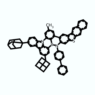 Cc1cc2c3c(c1)-n1c4ccc(C56CC7CC(CC(C7)C5)C6)cc4c4cc(C56CC7CC8CC(C5)C876)cc(c41)B3N(c1ccc(-c3ccccc3)cc1)c1cc3sc4cc5ccccc5cc4c3cc1-2